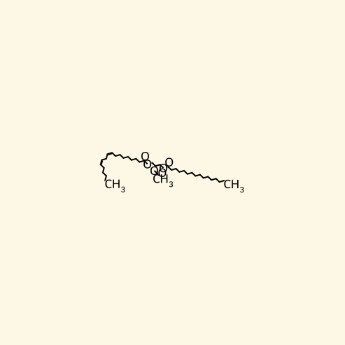 CCCCC/C=C\C/C=C\CCCCCCCC(=O)OCC(COC(=O)CCCCCCCCCCCCCCC)OC(C)=O